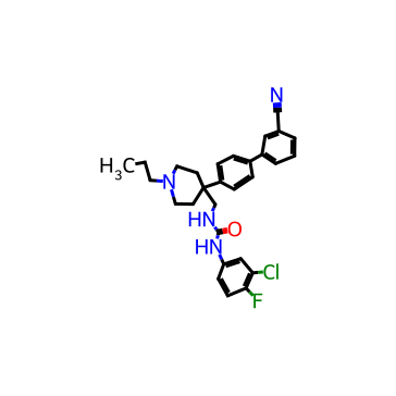 CCCN1CCC(CNC(=O)Nc2ccc(F)c(Cl)c2)(c2ccc(-c3cccc(C#N)c3)cc2)CC1